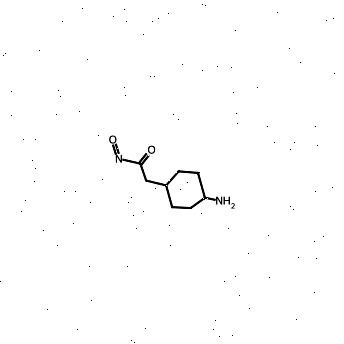 NC1CCC(CC(=O)N=O)CC1